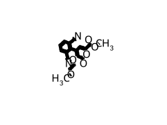 COCCOc1c(-c2c(C#N)cccc2C#N)cc(C(=O)OC)oc1=O